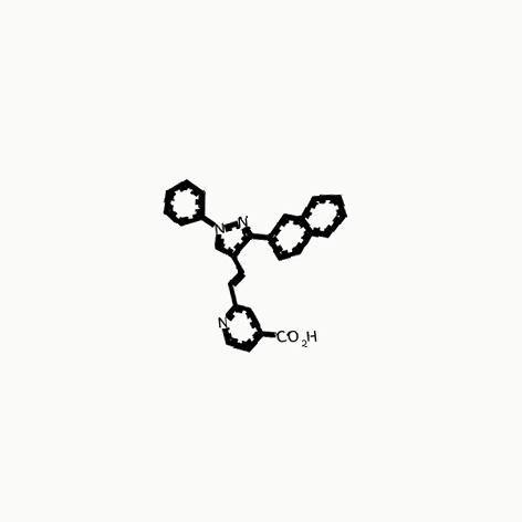 O=C(O)c1ccnc(/C=C/c2cn(-c3ccccc3)nc2-c2ccc3ccccc3c2)c1